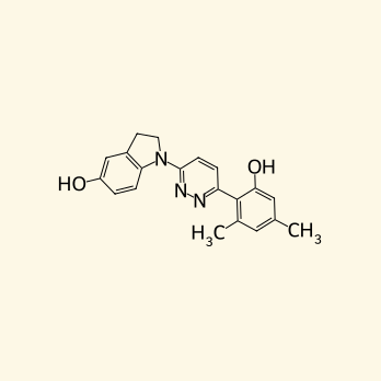 Cc1cc(C)c(-c2ccc(N3CCc4cc(O)ccc43)nn2)c(O)c1